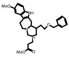 COC(=O)CC[C@@H]1CC(CCOCc2ccccc2)C2Cc3[nH]c4ccc(OC)cc4c3CCN2C1